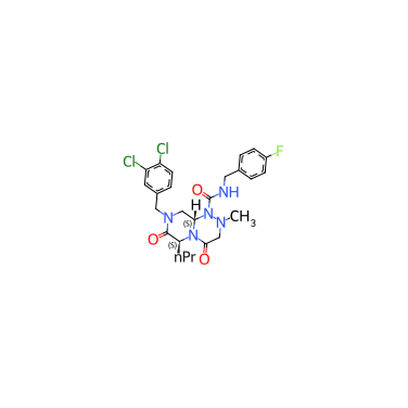 CCC[C@H]1C(=O)N(Cc2ccc(Cl)c(Cl)c2)C[C@H]2N1C(=O)CN(C)N2C(=O)NCc1ccc(F)cc1